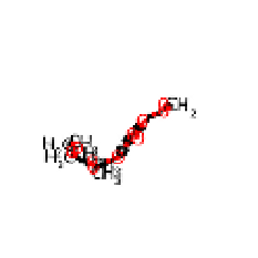 C=CC(=O)OCCCCCCOc1ccc(C(=O)Oc2ccc(C3CCC(OCCCCCCC(C)(C)OC(=O)CCCCCC(C)(C)OC(=O)C(=C)C)CC3)cc2)cc1